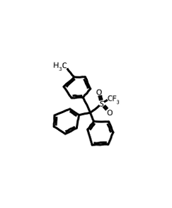 Cc1ccc(C(c2ccccc2)(c2ccccc2)S(=O)(=O)C(F)(F)F)cc1